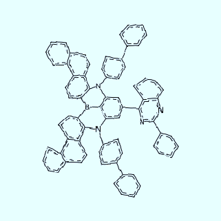 c1ccc(-c2ccc(N3c4cc(-c5nc(-c6ccccc6)nc6ccccc56)cc5c4B(c4ccc6c(ccc7ccccc76)c43)c3ccc4c(ccc6ccccc64)c3N5c3ccc(-c4ccccc4)cc3)cc2)cc1